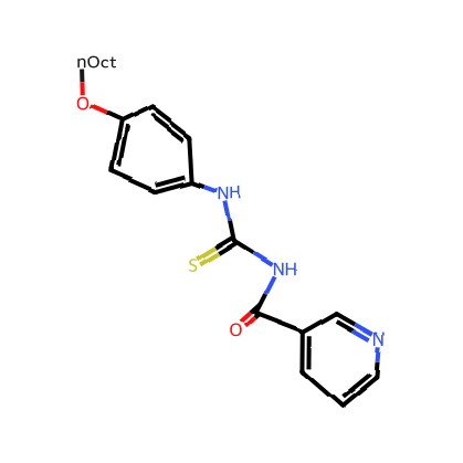 CCCCCCCCOc1ccc(NC(=S)NC(=O)c2cccnc2)cc1